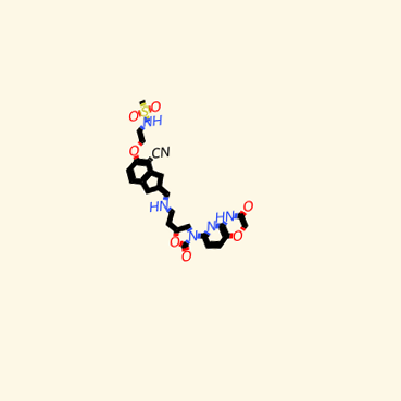 CS(=O)(=O)NCCOc1ccc2c(c1C#N)CC(CNCCC1CN(c3ccc4c(n3)NC(=O)CO4)C(=O)O1)C2